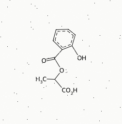 CC(OC(=O)c1ccccc1O)C(=O)O